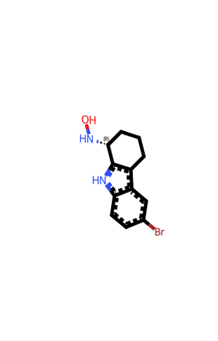 ON[C@@H]1CCCc2c1[nH]c1ccc(Br)cc21